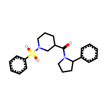 O=C(C1CCCN(S(=O)(=O)c2ccccc2)C1)N1CCCC1c1ccccc1